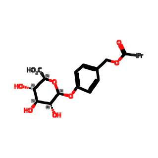 CC(C)C(=O)OCc1ccc(O[C@@H]2O[C@H](C(=O)O)[C@@H](O)[C@H](O)[C@H]2O)cc1